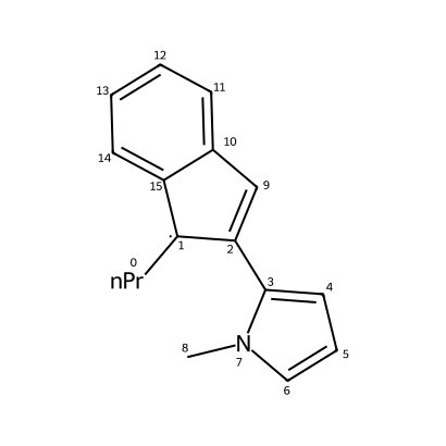 CCC[C]1C(c2cccn2C)=Cc2ccccc21